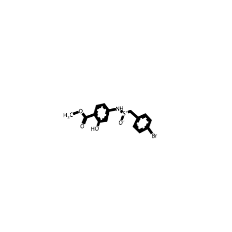 COC(=O)c1ccc(N[S+]([O-])Cc2ccc(Br)cc2)cc1O